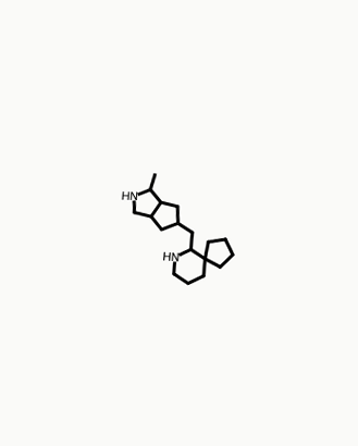 CC1NCC2CC(CC3NCCCC34CCCC4)CC21